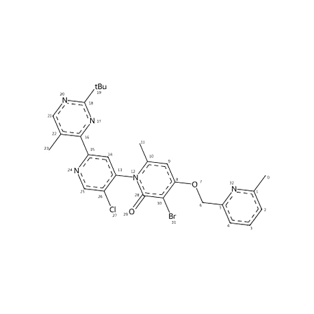 Cc1cccc(COc2cc(C)n(-c3cc(-c4nc(C(C)(C)C)ncc4C)ncc3Cl)c(=O)c2Br)n1